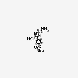 CC(C)(C)C(=O)Oc1ccc(-c2nnn(CCN)n2)cc1.Cl